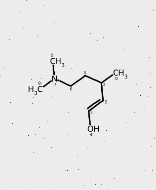 CC(C=CO)CCN(C)C